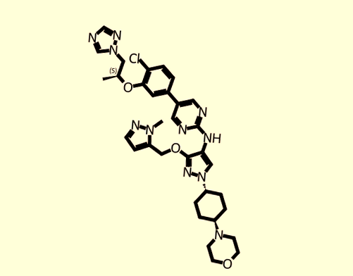 C[C@@H](Cn1cncn1)Oc1cc(-c2cnc(Nc3cn([C@H]4CC[C@H](N5CCOCC5)CC4)nc3OCc3ccnn3C)nc2)ccc1Cl